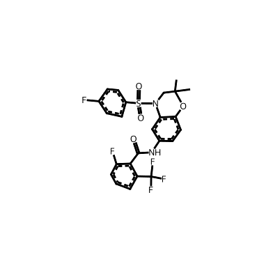 CC1(C)CN(S(=O)(=O)c2ccc(F)cc2)c2cc(NC(=O)c3c(F)cccc3C(F)(F)F)ccc2O1